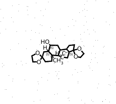 C[C@]12CCC3C(C[C@H](O)[C@H]4CC5(CC[C@]34C)OCCO5)C1CCC21OCCO1